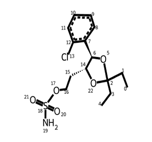 CCC1(CC)O[C@H](c2ccccc2Cl)[C@@H](CCOS(N)(=O)=O)O1